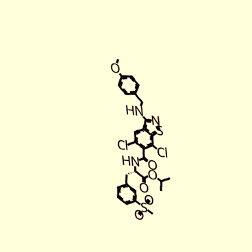 COc1ccc(CNc2nsc3c(Cl)c(C(=O)N[C@@H](Cc4cccc(S(C)(=O)=O)c4)C(=O)OC(C)C)c(Cl)cc23)cc1